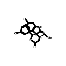 CC(C)(C)C[C@H]1CC(=O)NC(c2cccc(Cl)c2)[C@]12C(=O)Nc1cc(Cl)ccc12